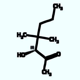 CCCC(C)(C)[C@@H](O)C(C)=O